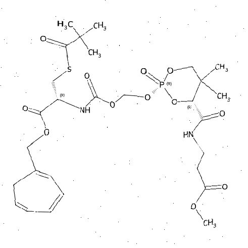 COC(=O)CCNC(=O)[C@@H]1O[P@](=O)(OCOC(=O)N[C@@H](CSC(=O)C(C)(C)C)C(=O)OCC2=CC=CC=CC2)OCC1(C)C